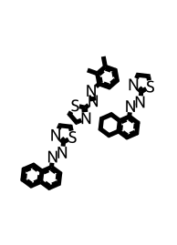 Cc1cccc(N=NC2=NCCS2)c1C.c1cc2c(c(N=NC3=NCCS3)c1)CCCC2.c1ccc2c(N=NC3=NCCS3)cccc2c1